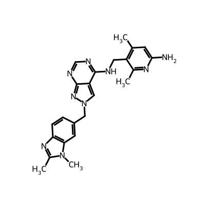 Cc1cc(N)nc(C)c1CNc1ncnc2nn(Cc3ccc4nc(C)n(C)c4c3)cc12